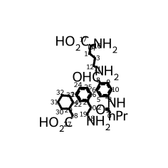 CCCC(=O)Nc1ccc(C=O)cc1.NCCC[C@H](N)C(=O)O.NCCc1ccccc1.O=C(O)CC1CCCCC1